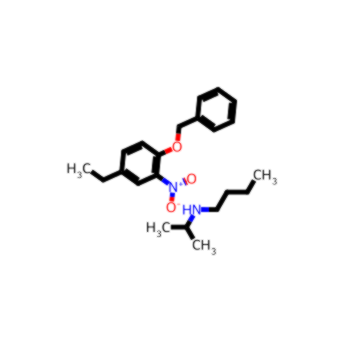 CCCCNC(C)C.CCc1ccc(OCc2ccccc2)c([N+](=O)[O-])c1